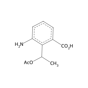 CC(=O)OC(C)c1c(N)cccc1C(=O)O